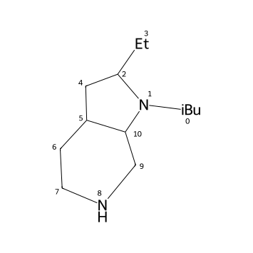 CCC(C)N1C(CC)CC2CCNCC21